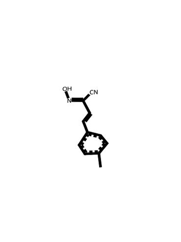 Cc1ccc(C=CC(C#N)=NO)cc1